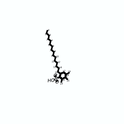 CCCCCCCCCCCCCCCCc1cc(C)c(C)c(C)c1S(=O)(=O)O